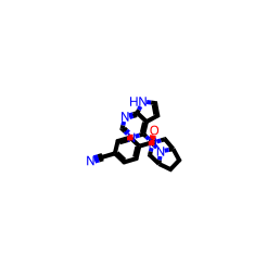 N#Cc1ccc(C(=O)N2C3CCC2CN(c2ncnc4[nH]ccc24)C3)cc1